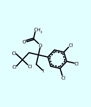 CC(=O)OC(CI)(CC(Cl)(Cl)Cl)c1cc(Cl)c(Cl)c(Cl)c1